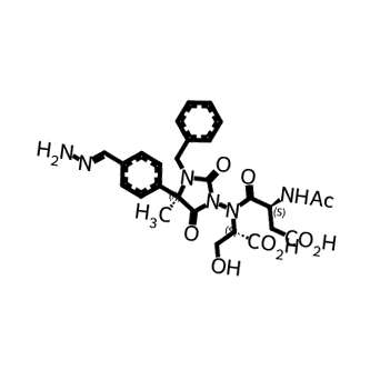 CC(=O)N[C@@H](CC(=O)O)C(=O)N([C@@H](CO)C(=O)O)N1C(=O)N(Cc2ccccc2)[C@](C)(c2ccc(C=NN)cc2)C1=O